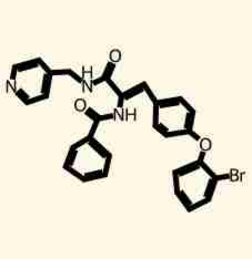 O=C(NCc1ccncc1)C(=Cc1ccc(Oc2ccccc2Br)cc1)NC(=O)c1ccccc1